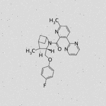 Cc1ccc(-c2ncccn2)c(C(=O)N2C3CC(C3)[C@H](C)[C@H]2COc2ccc(F)cc2)n1